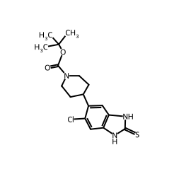 CC(C)(C)OC(=O)N1CCC(c2cc3[nH]c(=S)[nH]c3cc2Cl)CC1